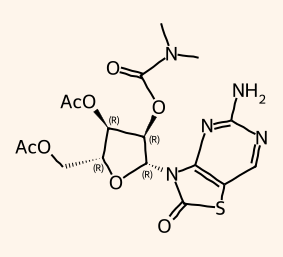 CC(=O)OC[C@H]1O[C@@H](n2c(=O)sc3cnc(N)nc32)[C@H](OC(=O)N(C)C)[C@@H]1OC(C)=O